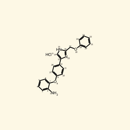 Cl.Nc1ccccc1Oc1ccc(-c2c[nH]c(COc3ccccc3)n2)cc1